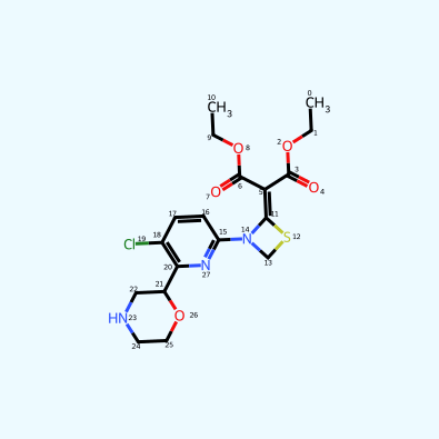 CCOC(=O)C(C(=O)OCC)=C1SCN1c1ccc(Cl)c(C2CNCCO2)n1